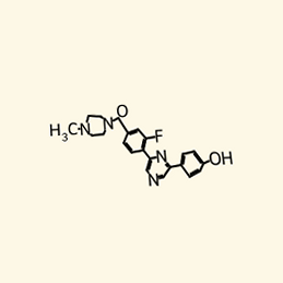 CN1CCN(C(=O)c2ccc(-c3cncc(-c4ccc(O)cc4)n3)c(F)c2)CC1